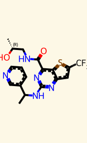 CC(Nc1nc(C(=O)NC[C@@H](C)O)c2sc(C(F)(F)F)cc2n1)c1cccnc1